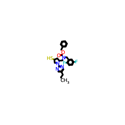 CCCc1cnc(N2CC(S)CC2CN(Cc2cc(F)ccc2F)C(=O)OCc2ccccc2)nc1